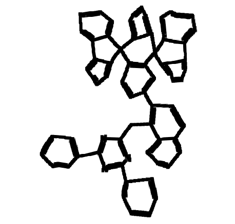 c1ccc(-c2nc(Cc3c(-c4ccc5c(c4)C4(c6ccccc6-c6ccccc64)c4ccccc4C54c5ccccc5-c5ccccc54)ccc4ccccc34)nc(-c3ccccc3)n2)cc1